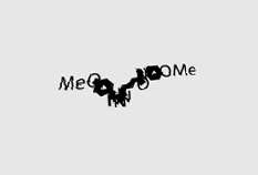 COc1ccc(N(C)C(=O)CCCc2nnnn2-c2ccc(OC)cc2)cc1